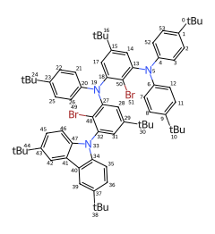 CC(C)(C)c1ccc(N(c2ccc(C(C)(C)C)cc2)c2cc(C(C)(C)C)cc(N(c3ccc(C(C)(C)C)cc3)c3cc(C(C)(C)C)cc(-n4c5ccc(C(C)(C)C)cc5c5cc(C(C)(C)C)ccc54)c3Br)c2Br)cc1